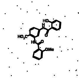 COc1ccccc1C(=O)Nc1cc(NC(=O)c2ccccc2O)ccc1C(=O)O